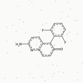 Nc1ccc2c(-c3c(F)cccc3F)c(=O)ccn2n1